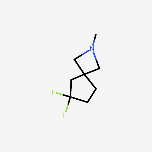 CN1CC2(CCC(F)(F)C2)C1